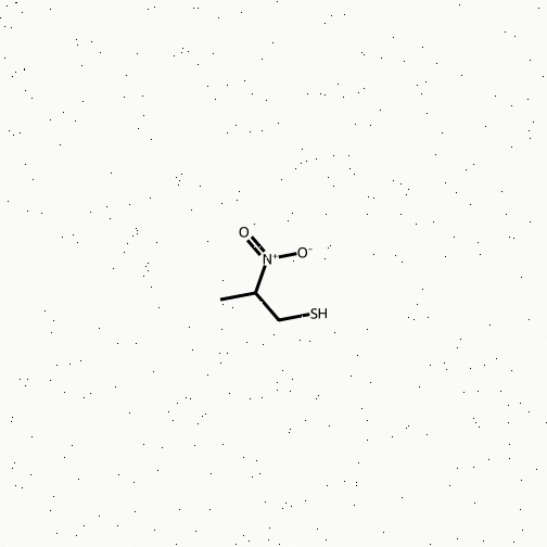 CC(CS)[N+](=O)[O-]